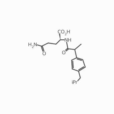 CC(C)Cc1ccc(C(C)C(=O)N[C@@H](CCC(N)=O)C(=O)O)cc1